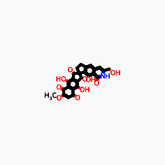 COC1=CC(=O)c2c(O)c3c(c(O)c2C1=O)C(=O)C1(CCc2cc4cc(CO)[nH]c(=O)c4c(O)c21)C3=O